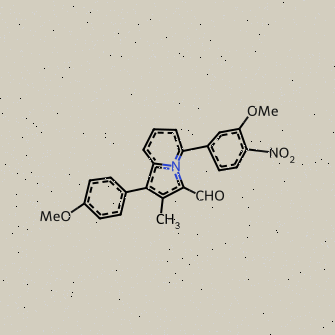 COc1ccc(-c2c(C)c(C=O)n3c(-c4ccc([N+](=O)[O-])c(OC)c4)cccc23)cc1